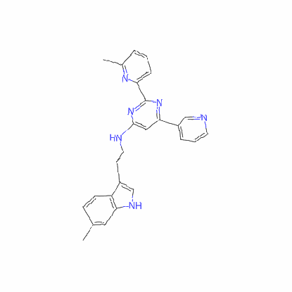 Cc1ccc2c(CCNc3cc(-c4cccnc4)nc(-c4cccc(C)n4)n3)c[nH]c2c1